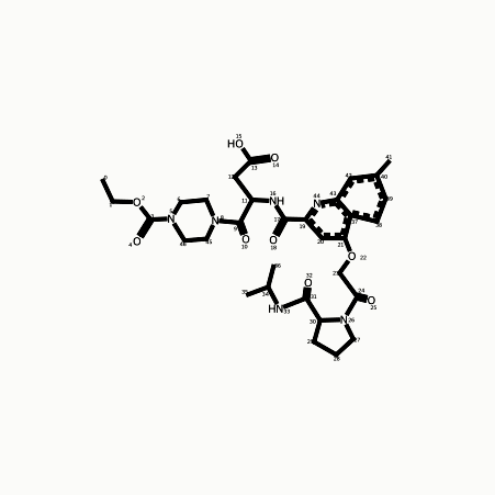 CCOC(=O)N1CCN(C(=O)C(CC(=O)O)NC(=O)c2cc(OCC(=O)N3CCCC3C(=O)NC(C)C)c3ccc(C)cc3n2)CC1